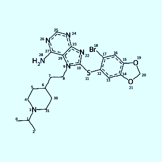 CC(C)N1CCC(CCn2c(Sc3cc4c(cc3Br)OCO4)nc3ncnc(N)c32)CC1